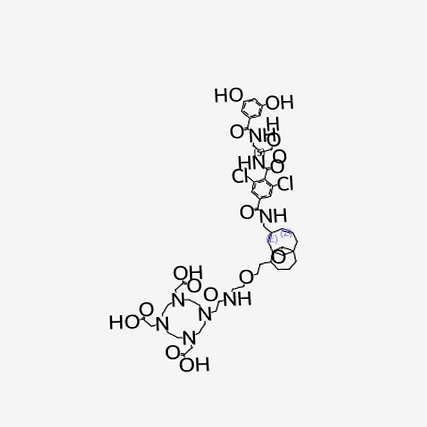 O=C(O)CN1CCN(CC(=O)O)CCN(CC(=O)NCCOCCC23CCCC45C/C=C\C(CNC(=O)c6cc(Cl)c(C(=O)N[C@@H](CNC(=O)c7cc(O)cc(O)c7)C(=O)O)c(Cl)c6)=C/C2(C4)C5O3)CCN(CC(=O)O)CC1